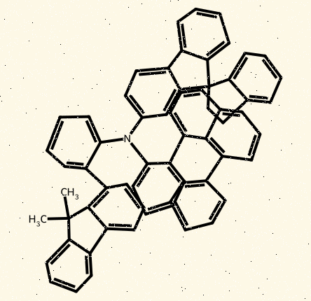 CC1(C)c2ccccc2-c2cccc(-c3ccccc3N(c3ccc4c(c3)C3(CCc5ccccc53)c3ccccc3-4)c3ccccc3-c3cccc4cccc(-c5ccccc5)c34)c21